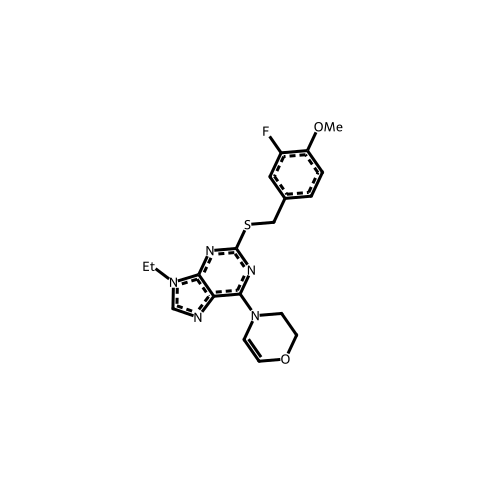 CCn1cnc2c(N3C=COCC3)nc(SCc3ccc(OC)c(F)c3)nc21